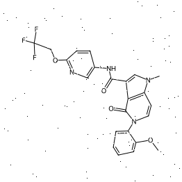 COc1ccccc1-n1ccc2c(c(C(=O)Nc3ccc(OCC(F)(F)F)nc3)cn2C)c1=O